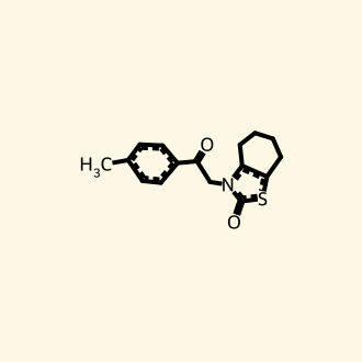 Cc1ccc(C(=O)Cn2c3c(sc2=O)CCCC3)cc1